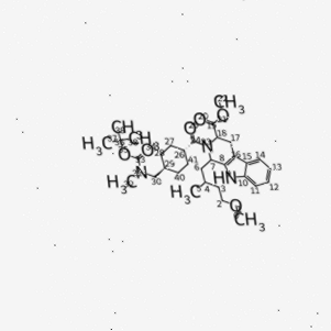 COCCC(C)CC1c2[nH]c3ccccc3c2CC(C(=O)OC)N1C(=O)[C@H]1CC[C@H](CN(C)C(=O)OC(C)(C)C)CC1